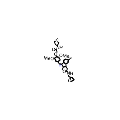 COc1cc(/C=C2/C(C)=C(CC(=O)NCc3ccco3)c3cc(F)ccc32)cc(OC)c1OCC(=O)NC1CCN(C)C1